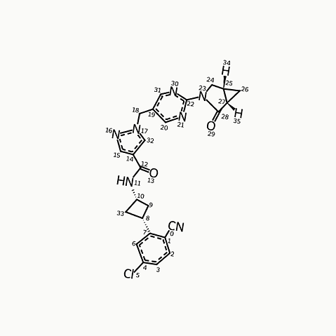 N#Cc1ccc(Cl)cc1[C@H]1C[C@@H](NC(=O)c2cnn(Cc3cnc(N4C[C@@H]5C[C@@H]5C4=O)nc3)c2)C1